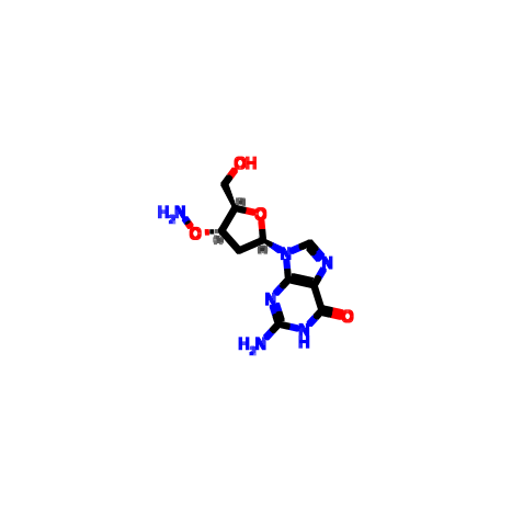 NO[C@H]1C[C@H](n2cnc3c(=O)[nH]c(N)nc32)O[C@@H]1CO